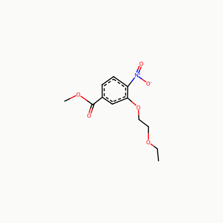 CCOCCOc1cc(C(=O)OC)ccc1[N+](=O)[O-]